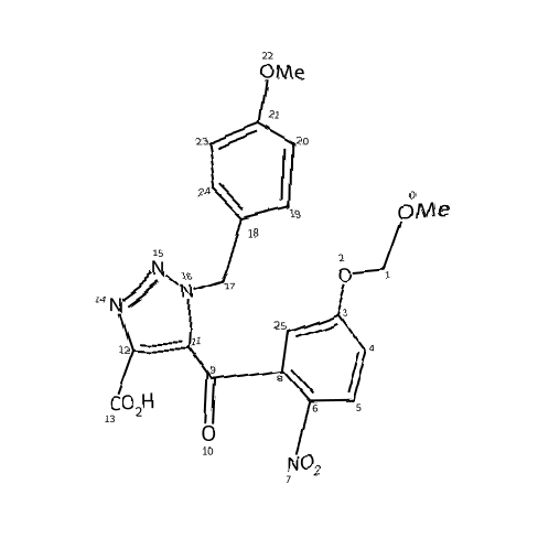 COCOc1ccc([N+](=O)[O-])c(C(=O)c2c(C(=O)O)nnn2Cc2ccc(OC)cc2)c1